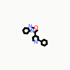 c1ccc(-c2cc(-c3coc4nc5ccccc5n34)ccn2)cc1